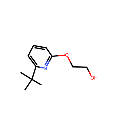 CC(C)(C)c1cccc(OCCO)n1